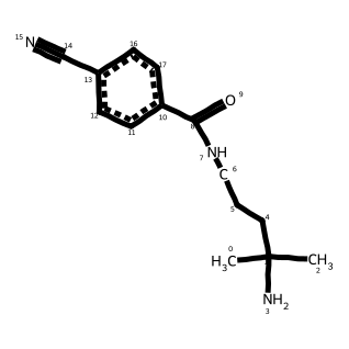 CC(C)(N)CCCNC(=O)c1ccc(C#N)cc1